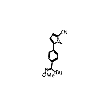 CO/N=C(/c1ccc(-c2ccc(C#N)n2C)cc1)C(C)(C)C